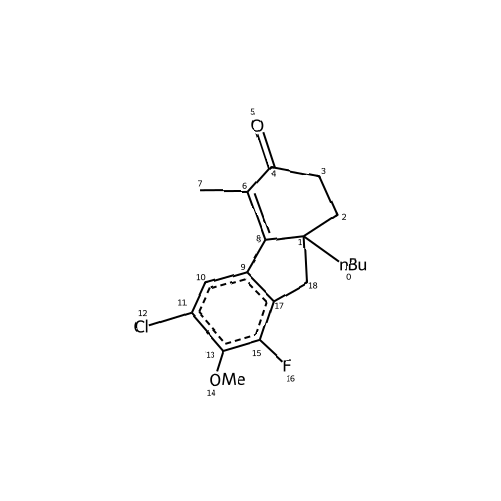 CCCCC12CCC(=O)C(C)=C1c1cc(Cl)c(OC)c(F)c1C2